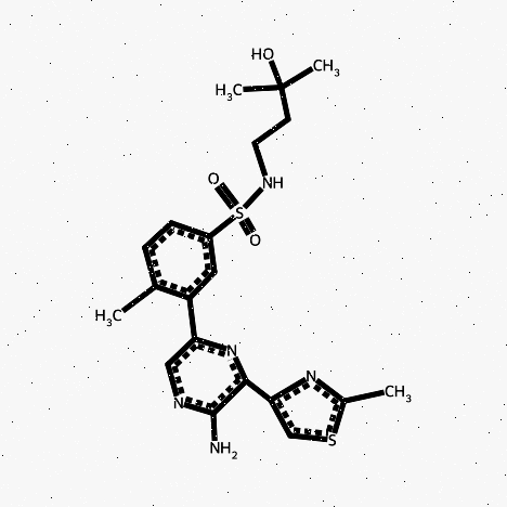 Cc1nc(-c2nc(-c3cc(S(=O)(=O)NCCC(C)(C)O)ccc3C)cnc2N)cs1